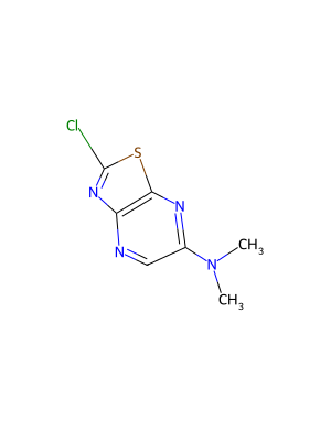 CN(C)c1cnc2nc(Cl)sc2n1